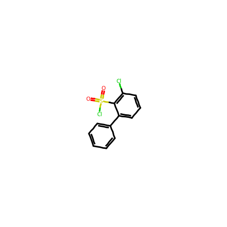 O=S(=O)(Cl)c1c(Cl)cccc1-c1ccccc1